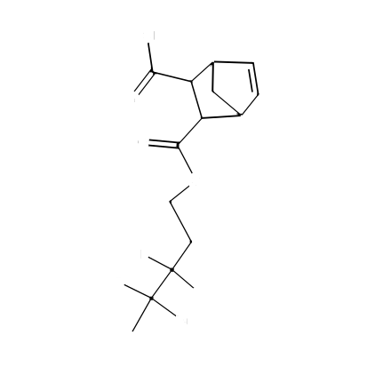 O=C(O)C1C2C=CC(C2)C1C(=O)OCCC(F)(F)C(F)(F)Br